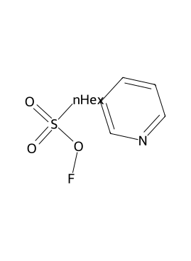 CCCCCCS(=O)(=O)OF.c1ccncc1